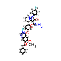 COc1cc2c(Oc3ccc(C4CCCn5c4c(C(N)=O)c(=O)n5-c4ccc(F)cc4)cc3F)ncnc2cc1OCc1ccccc1